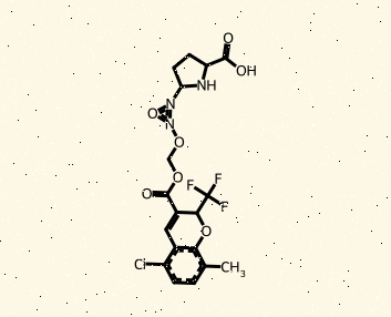 Cc1ccc(Cl)c2c1OC(C(F)(F)F)C(C(=O)OCOn1on1C1CCC(C(=O)O)N1)=C2